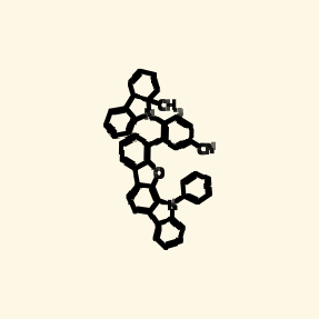 CC12C=CC=CC1c1ccccc1N2c1ccc(C#N)cc1-c1cccc2c1oc1c2ccc2c3ccccc3n(-c3ccccc3)c21